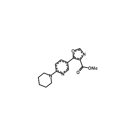 COC(=O)c1ncoc1-c1ccc(N2CCCCC2)nc1